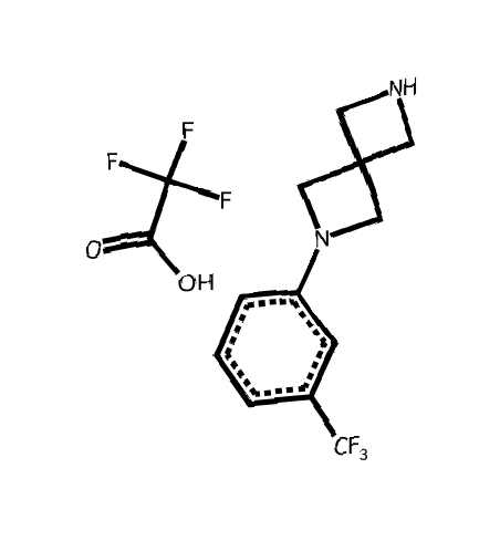 FC(F)(F)c1cccc(N2CC3(CNC3)C2)c1.O=C(O)C(F)(F)F